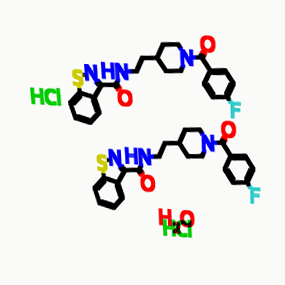 Cl.Cl.O.O=C(NCCC1CCN(C(=O)c2ccc(F)cc2)CC1)c1nsc2ccccc12.O=C(NCCC1CCN(C(=O)c2ccc(F)cc2)CC1)c1nsc2ccccc12